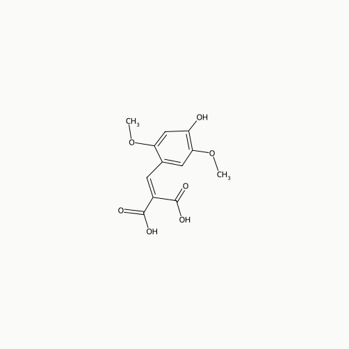 COc1cc(C=C(C(=O)O)C(=O)O)c(OC)cc1O